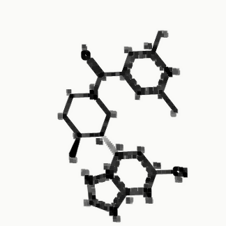 Cc1cc(C(=O)N2CC[C@H](C)[C@@H](c3cc(C#N)nc4ncnn34)C2)cc(C)n1